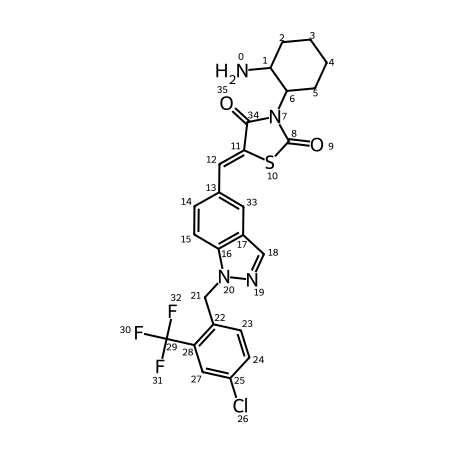 NC1CCCCC1N1C(=O)SC(=Cc2ccc3c(cnn3Cc3ccc(Cl)cc3C(F)(F)F)c2)C1=O